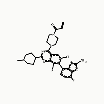 C=CC(=O)N1CCN(c2nc(C3CCN(C)CC3)nc3c(F)c(-c4ccc(F)c5sc(N)nc45)c(Cl)cc23)CC1